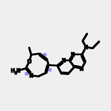 CCN(CC)c1cnc2ccc(C3=C/C/N=C(/N)OC(C)/C=C\3)nc2n1